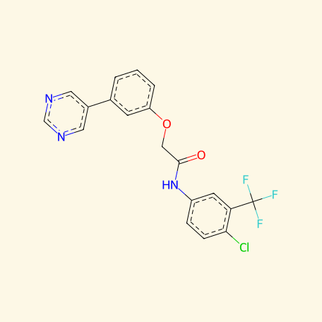 O=C(COc1cccc(-c2cncnc2)c1)Nc1ccc(Cl)c(C(F)(F)F)c1